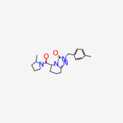 Cc1ccc(Cn2nc3n(c2=O)C(C(=O)N2CCCC2C)CCC3)cc1